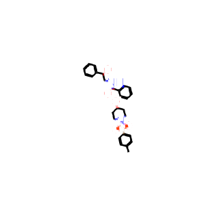 Cc1ccc(S(=O)(=O)N2CCC(Oc3ccccc3C(=O)NCC(=O)c3ccccc3)CC2)cc1